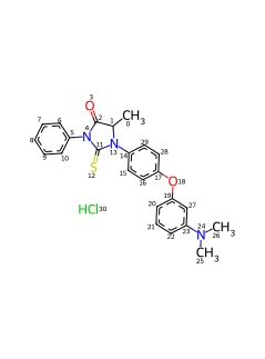 CC1C(=O)N(c2ccccc2)C(=S)N1c1ccc(Oc2cccc(N(C)C)c2)cc1.Cl